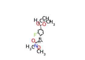 CON(C)C(=O)[C@@H]1C[C@H]1c1ccc(C(=O)OC(C)(C)C)cc1F